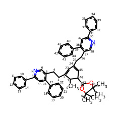 CC1C(CCc2cnc(-c3ccccc3)cc2-c2ccccc2)=CC(CCc2cnc(-c3ccccc3)cc2-c2ccccc2)=CC1B1OC(C)(C)C(C)(C)O1